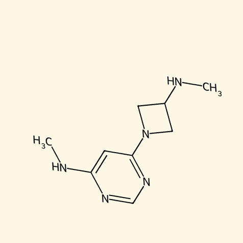 CNc1cc(N2CC(NC)C2)ncn1